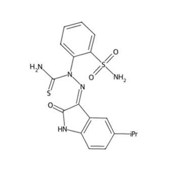 CC(C)c1ccc2c(c1)/C(=N/N(C(N)=S)c1ccccc1S(N)(=O)=O)C(=O)N2